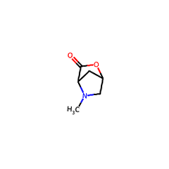 CN1CC2CC1C(=O)O2